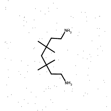 CC(C)(CCN)CC(C)(C)CCN